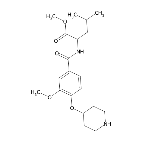 COC(=O)C(CC(C)C)NC(=O)c1ccc(OC2CCNCC2)c(OC)c1